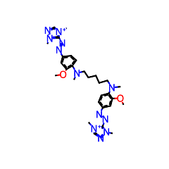 COc1cc(/N=N/c2n(C)nc[n+]2C)ccc1N(C)CCCCCN(C)c1ccc(/N=N/c2n(C)nc[n+]2C)cc1OC